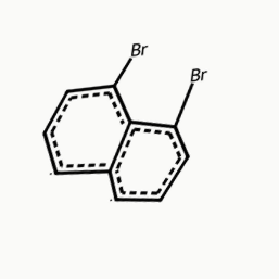 Brc1cc[c]c2[c]ccc(Br)c12